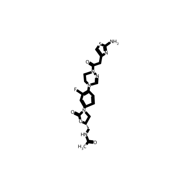 CC(=O)NC[C@H]1CN(c2ccc(N3C=NN(C(=O)Cc4csc(N)n4)CC3)c(F)c2)C(=O)O1